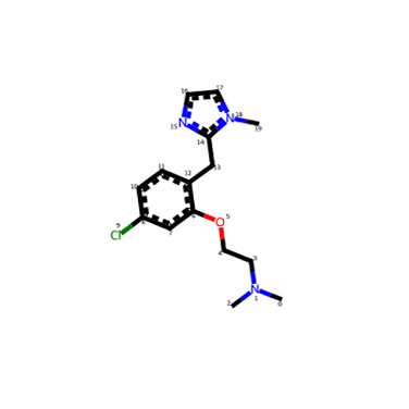 CN(C)CCOc1cc(Cl)ccc1Cc1nccn1C